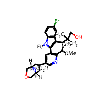 CCn1c(-c2cc(C3C[C@H]4COC[C@@H](C3)N4C(=O)O)cnc2C(C)OC)c(CC(C)(C)CO)c2cc(Br)ccc21